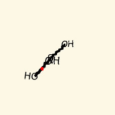 OCCCCCCCCCONOCCCCCCCCCO